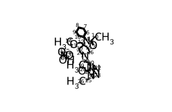 CCC(=O)N(c1ccccc1)C1(COC)CCN(C(C)Cn2nnn(CC)c2=O)CC1.O=[N+]([O-])O